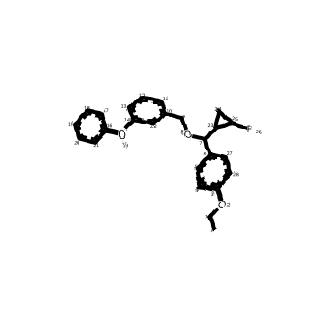 CCOc1ccc(C(OCc2cccc(Oc3ccccc3)c2)C2CC2F)cc1